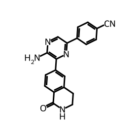 N#Cc1ccc(-c2cnc(N)c(-c3ccc4c(c3)CCNC4=O)n2)cc1